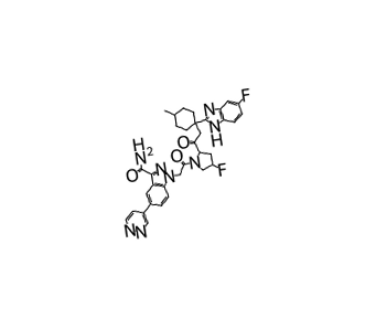 CC1CCC(CC(=O)C2CC(F)CN2C(=O)Cn2nc(C(N)=O)c3cc(-c4ccnnc4)ccc32)(c2nc3cc(F)ccc3[nH]2)CC1